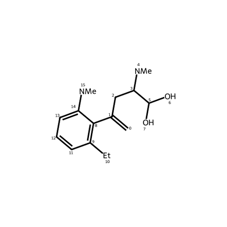 C=C(CC(NC)C(O)O)c1c(CC)cccc1NC